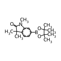 CN1C(=O)C(C)(C)c2ccc(B3OC(C)(C)C(C)(C)O3)cc21